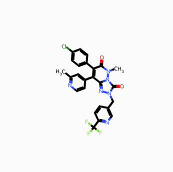 Cc1cc(-c2c(-c3ccc(Cl)cc3)c(=O)n(C)n3c(=O)n(Cc4ccc(C(F)(F)F)nc4)nc23)ccn1